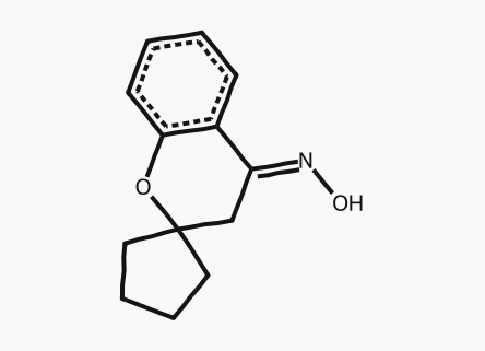 O/N=C1\CC2(CCCC2)Oc2ccccc21